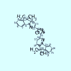 CC1(C)c2ccccc2-c2nc(-c3nnc(-c4ccc5c(n4)-c4ccccc4C5(C)C)o3)ccc21